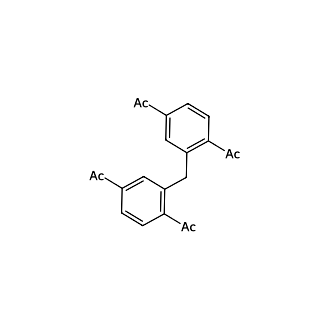 CC(=O)c1ccc(C(C)=O)c(Cc2cc(C(C)=O)ccc2C(C)=O)c1